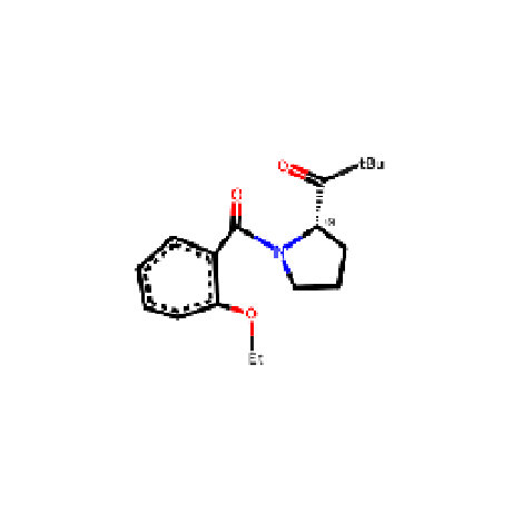 CCOc1ccccc1C(=O)N1CCC[C@H]1C(=O)C(C)(C)C